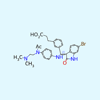 CC(=O)N(CCN(C)C)c1ccc(N/C(=C2\C(=O)Nc3cc(Br)ccc32)c2cccc(CCC(=O)O)c2)cc1